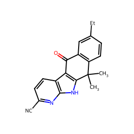 CCc1ccc2c(c1)C(=O)c1c([nH]c3nc(C#N)ccc13)C2(C)C